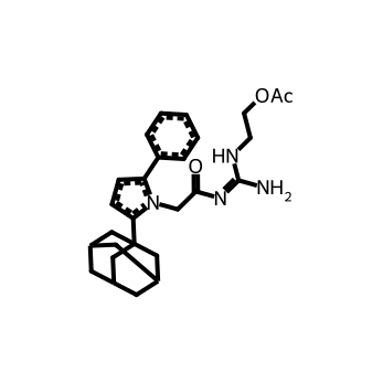 CC(=O)OCCN/C(N)=N\C(=O)Cn1c(-c2ccccc2)ccc1C12CC3CC(CC(C3)C1)C2